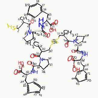 CC(CS)C(=O)N1CCC[C@H]1C(=O)N[C@@H](Cc1ccccc1)C(=O)O.CC(CSSCC(C)C(=O)N1CCC[C@H]1C(=O)N[C@@H](Cc1ccccc1)C(=O)O)C(=O)N1CCC[C@H]1C(=O)N[C@@H](Cc1ccccc1)C(=O)O